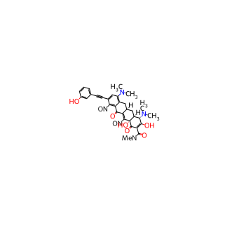 CNC(=O)C1=C(O)[C@@H](N(C)C)[C@@H]2C[C@@H]3Cc4c(N(C)C)cc(C#Cc5cccc(O)c5)c(N=O)c4C(=O)C3=C(N=O)[C@]2(O)C1=O